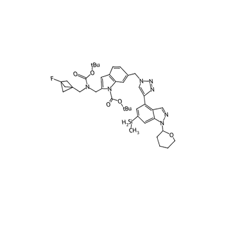 C[SiH2]c1cc(-c2cn(Cc3ccc4cc(CN(CC56CC(F)(C5)C6)C(=O)OC(C)(C)C)n(C(=O)OC(C)(C)C)c4c3)nn2)c2cnn(C3CCCCO3)c2c1